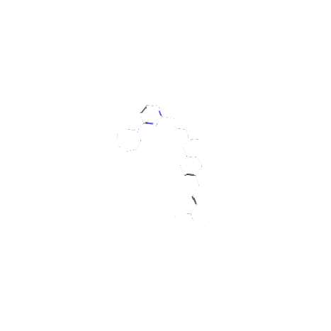 CC(C)/C=C/CC1=CCC(CN(C)CCNc2nccc(N3CCCCCC3)n2)CC1